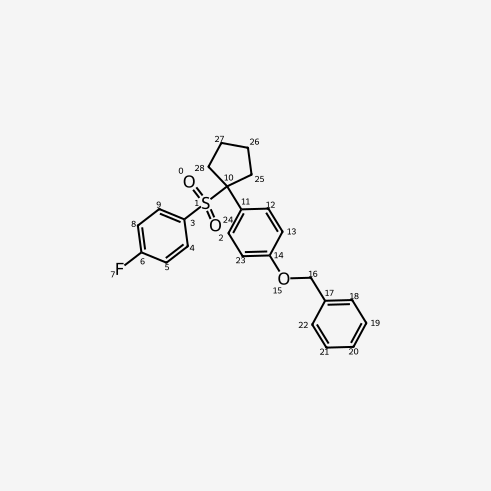 O=S(=O)(c1ccc(F)cc1)C1(c2ccc(OCc3ccccc3)cc2)CCCC1